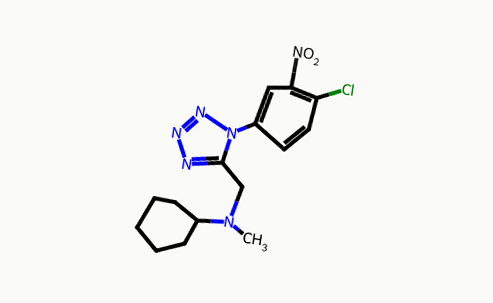 CN(Cc1nnnn1-c1ccc(Cl)c([N+](=O)[O-])c1)C1CCCCC1